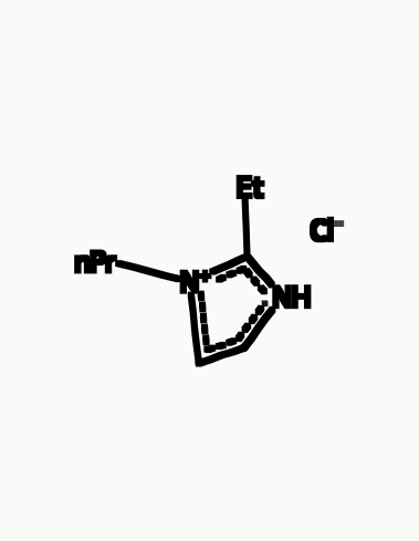 CCC[n+]1cc[nH]c1CC.[Cl-]